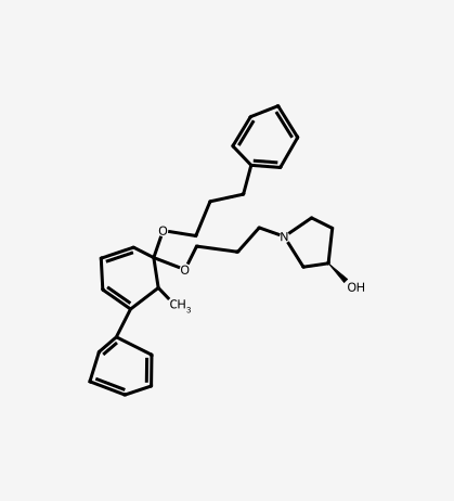 CC1C(c2ccccc2)=CC=CC1(OCCCc1ccccc1)OCCCN1CC[C@@H](O)C1